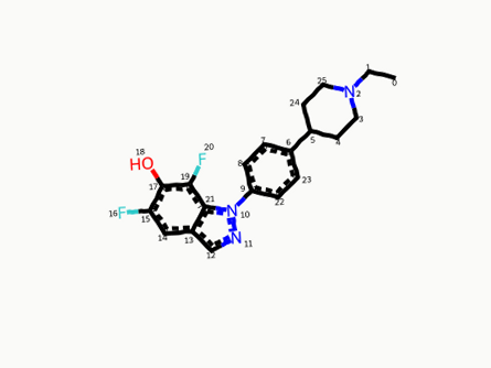 CCN1CCC(c2ccc(-n3ncc4cc(F)c(O)c(F)c43)cc2)CC1